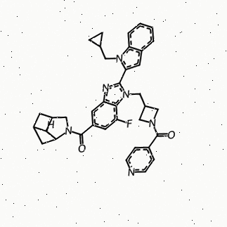 O=C(c1ccncc1)N1CC(Cn2c(-c3cc4ccccc4n3CC3CC3)nc3cc(C(=O)N4CC5CC6CC4[C@H]65)cc(F)c32)C1